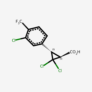 O=C(O)[C@@H]1[C@@H](c2ccc(C(F)(F)F)c(Cl)c2)C1(Cl)Cl